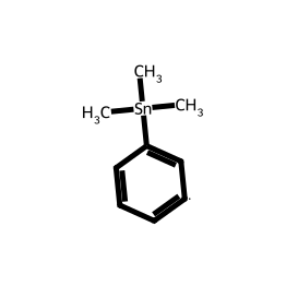 [CH3][Sn]([CH3])([CH3])[c]1c[c]ccc1